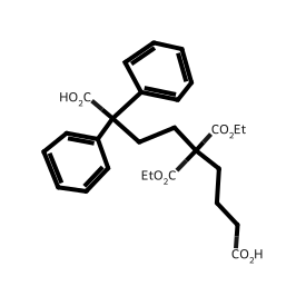 CCOC(=O)C(CCCC(=O)O)(CCC(C(=O)O)(c1ccccc1)c1ccccc1)C(=O)OCC